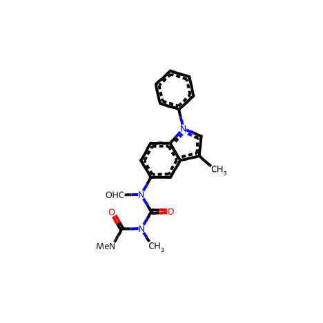 CNC(=O)N(C)C(=O)N(C=O)c1ccc2c(c1)c(C)cn2-c1ccccc1